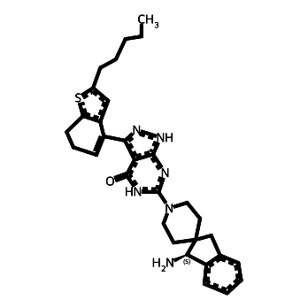 CCCCCc1cc2c(s1)CCC=C2c1n[nH]c2nc(N3CCC4(CC3)Cc3ccccc3[C@H]4N)[nH]c(=O)c12